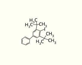 CC(C)(C)c1cc(-c2ccccc2)cc(C(C)(C)C)c1I